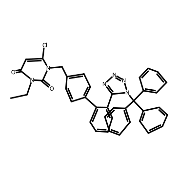 CCn1c(=O)cc(Cl)n(Cc2ccc(-c3ccccc3-c3nnnn3C(c3ccccc3)(c3ccccc3)c3ccccc3)cc2)c1=O